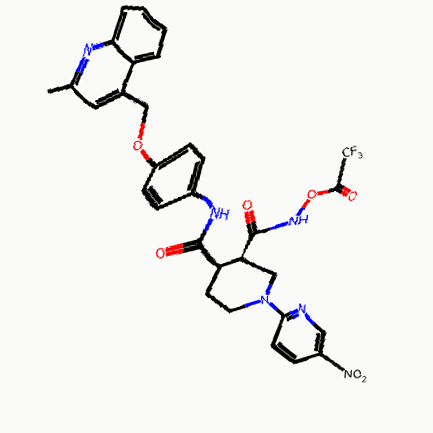 Cc1cc(COc2ccc(NC(=O)C3CCN(c4ccc([N+](=O)[O-])cn4)C[C@@H]3C(=O)NOC(=O)C(F)(F)F)cc2)c2ccccc2n1